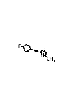 Cc1csc(C#Cc2ccc(F)cc2)n1